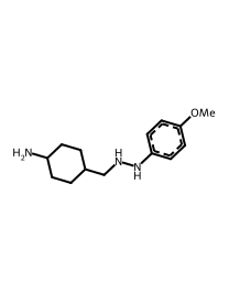 COc1ccc(NNCC2CCC(N)CC2)cc1